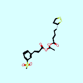 CC(OC(=O)CCCC[C@@H]1CCSS1)OC(=O)CCc1cccc(S(C)(=O)=O)c1